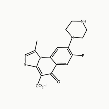 Cc1csc2c(C(=O)O)c(=O)c3cc(F)c(N4CCNCC4)cc3n12